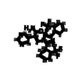 NC(=O)C(=Cn1nc(-c2ccccc2C(F)(F)F)nc1-c1ccccc1C(F)(F)F)c1cncnc1